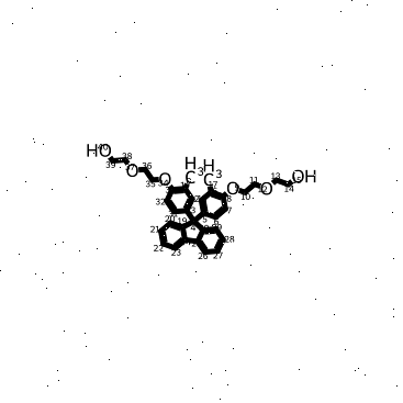 Cc1cc(C2(c3ccc(OCCOCCO)c(C)c3)c3ccccc3-c3ccccc32)ccc1OCCOCCO